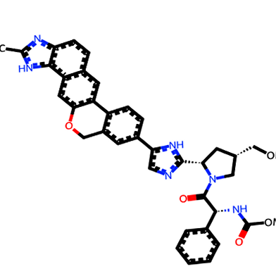 COC[C@H]1C[C@@H](c2ncc(-c3ccc4c(c3)COc3cc5c(ccc6nc(C)[nH]c65)cc3-4)[nH]2)N(C(=O)[C@H](NC(=O)OC)c2ccccc2)C1